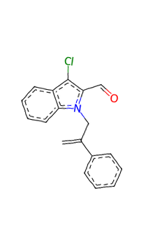 C=C(Cn1c(C=O)c(Cl)c2ccccc21)c1ccccc1